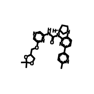 Cc1ccc(-c2ccc3c(n2)N(C(=O)Nc2cncc(OCC4COC(C)(C)O4)n2)[C@H]2CCN3C2)cn1